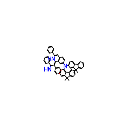 CC1(C)c2ccccc2-c2ccc(N(c3ccc4c(c3)/C(=C(/C(=N)c3ccccc3)c3ccccc3)NC(c3ccccc3)=C4)c3cccc4c3-c3ccccc3C4(C)C)cc21